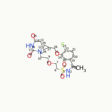 C[C@@H](NS(=O)(=O)CCOCCN1CCC(=O)NC1=O)c1ccc(F)c(OCC2CC2)c1